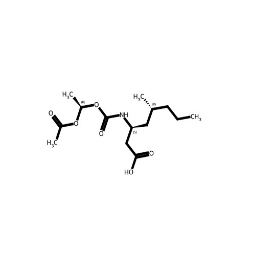 CCC[C@@H](C)C[C@@H](CC(=O)O)NC(=O)O[C@H](C)OC(C)=O